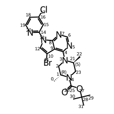 C[C@@H]1CN(c2ncnc3c2c(Br)cn3-c2cc(Cl)ccn2)[C@@H](C)CN1C(=O)OC(C)(C)C